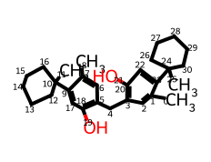 Cc1cc(Cc2cc(C)c(C3(C)CCCCC3)cc2O)c(O)cc1C1(C)CCCCC1